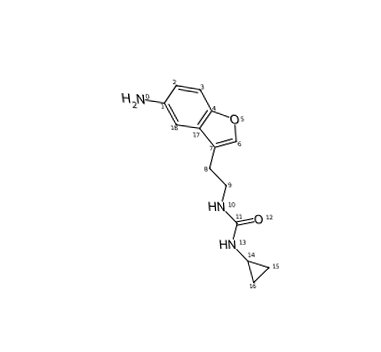 Nc1ccc2occ(CCNC(=O)NC3CC3)c2c1